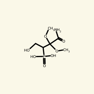 COC(OC)(C(N)=O)C(CO)P(=O)(O)O